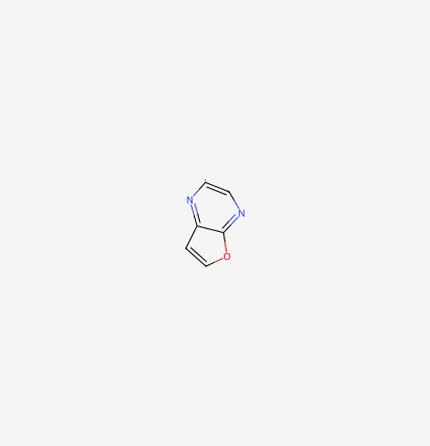 [c]1cnc2occc2n1